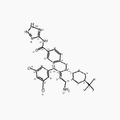 CC(C)(C)[C@H]1CC[C@H](N(Cc2ccc(C(=O)Nc3nn[nH]n3)cc2)/C(=N\CN)Nc2cc(Cl)cc(Cl)c2)CC1